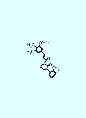 COc1cc(/C=C/C(=O)N2CCC=C(c3ccccc3C)C2=O)cc(C)c1C